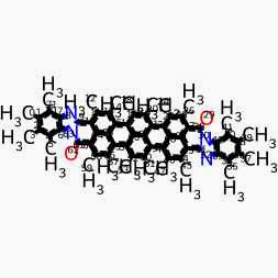 Cc1c(C)c(C)c2c(nc3c4c(C)c(C)c5c6c(C)c(C)c7c8c(C)c(C)c9c(=O)n%10c(nc%11c(C)c(C)c(C)c(C)c%11%10)c%10c(C)c(C)c(c%11c(C)c(C)c(c%12c(C)c(C)c(c(=O)n32)c4c%125)c6c7%11)c8c9%10)c1C